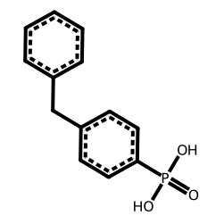 O=P(O)(O)c1ccc(Cc2ccccc2)cc1